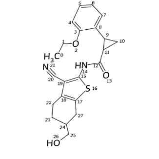 CCOc1ccccc1C1CC1C(=O)Nc1sc2c(c1C#N)CCC(CO)C2